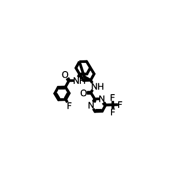 O=C(NC12CC3CC(C1)CC(NC(=O)c1nccc(C(F)(F)F)n1)(C3)C2)c1cccc(F)c1